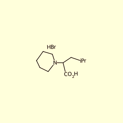 Br.CC(C)CC(C(=O)O)N1CCCCC1